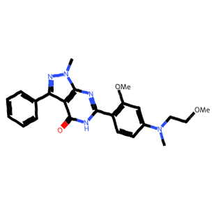 COCCN(C)c1ccc(-c2nc3c(c(-c4ccccc4)nn3C)c(=O)[nH]2)c(OC)c1